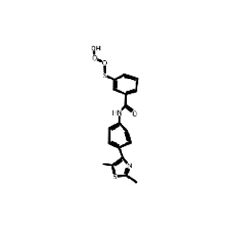 Cc1nc(-c2ccc(NC(=O)c3cccc(SOOO)c3)cc2)c(C)s1